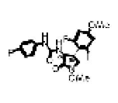 COc1cc(F)c([C@@H]2CN(OC)C(=O)[C@H]2NC(=O)Nc2ccc(F)cc2)c(F)c1